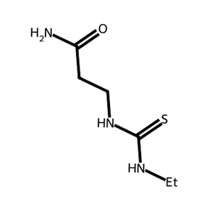 CCNC(=S)NCCC(N)=O